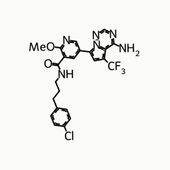 COc1ncc(-c2cc(C(F)(F)F)c3c(N)ncnn23)cc1C(=O)NCCCc1ccc(Cl)cc1